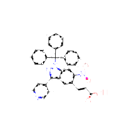 O=C(O)/C=C/c1cc2c(-c3ccncc3)nn(C(c3ccccc3)(c3ccccc3)c3ccccc3)c2cc1[N+](=O)[O-]